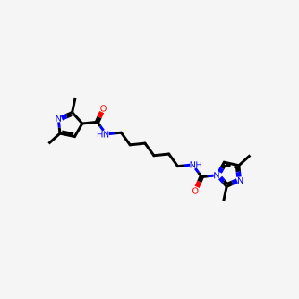 CC1=CC(C(=O)NCCCCCCNC(=O)n2cc(C)nc2C)C(C)=N1